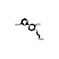 COCCO[C@@H]1CCN(c2nccc(SC)n2)C[C@H]1O